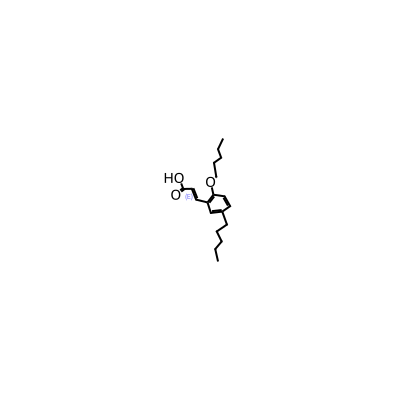 CCCCCOc1ccc(CCCCC)cc1/C=C/C(=O)O